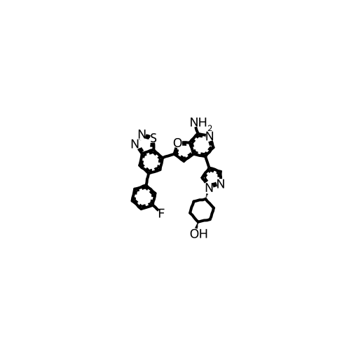 Nc1ncc(-c2cnn([C@H]3CC[C@H](O)CC3)c2)c2cc(-c3cc(-c4cccc(F)c4)cc4nnsc34)oc12